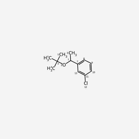 CC(OC(C)(C)C)c1cccc(Cl)c1